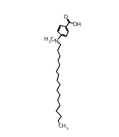 CCCCCCCCCCCCCCCCCN(C)c1ccc(C(=O)O)cc1